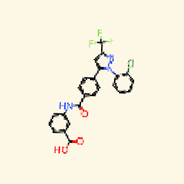 O=C(O)c1cccc(NC(=O)c2ccc(-c3cc(C(F)(F)F)nn3-c3ccccc3Cl)cc2)c1